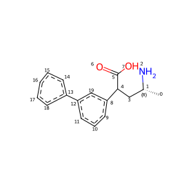 C[C@@H](N)CC(C(=O)O)c1cccc(-c2ccccc2)c1